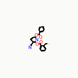 [CH2]Cc1ccccc1C(=O)Oc1nc(OC(=O)c2ccccc2)ccc1C#N